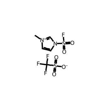 C[n+]1ccn(S(=O)(=O)F)c1.O=S(=O)([O-])C(F)(F)F